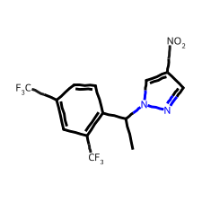 CC(c1ccc(C(F)(F)F)cc1C(F)(F)F)n1cc([N+](=O)[O-])cn1